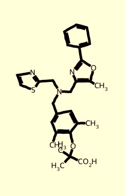 Cc1cc(CN(Cc2nccs2)Cc2nc(-c3ccccc3)oc2C)cc(C)c1OC(C)(C)C(=O)O